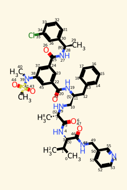 CC(C)[C@H](NC(=O)[C@H](C)NC[C@H](Cc1ccccc1)NC(=O)c1cc(C(=O)N[C@H](C)c2cccc(Cl)c2)cc(N(C)S(C)(=O)=O)c1)C(=O)NCc1cccnc1